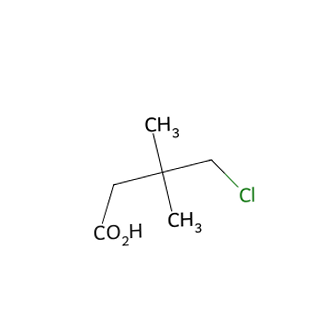 CC(C)(CCl)CC(=O)O